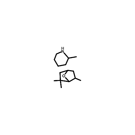 CC1CC2CC(C)(C)C1O2.CC1CCCCN1